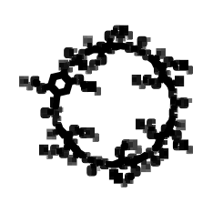 COC1C[C@@H]2C[S+]([O-])C[C@@H]3CC(OC)[C@@H](CC3OC)[S+]([O-])C[C@H]3CC(OC)[C@H](CC3OC)C[S+]([O-])C[C@@H]3CC(OC)[C@@H](CC3OC)[S@+]([O-])[C@@H]3CC(OC)[C@@H](CC3OC)C[S+]([O-])C[C@H]3CC(OC)[C@H](CC3OC)C[S+]([O-])C[C@H]1CC2OC